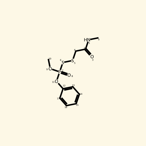 CNC(=O)CSSP(=O)(OC)Oc1ccccc1